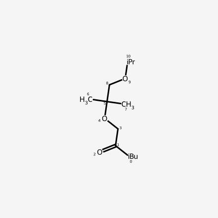 CCC(C)C(=O)COC(C)(C)COC(C)C